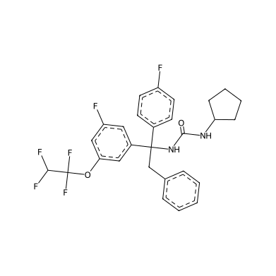 O=C(NC1CCCC1)NC(Cc1ccccc1)(c1ccc(F)cc1)c1cc(F)cc(OC(F)(F)C(F)F)c1